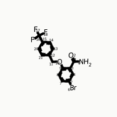 NC(=O)c1cc(Br)ccc1OCc1ccc(C(F)(F)F)cc1